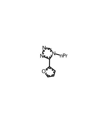 CCCn1[c]nnc1-c1ccco1